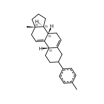 Cc1ccc(C2CC[C@H]3C(=CC[C@@H]4C3=CC[C@]3(C)CCC[C@@H]43)C2)cc1